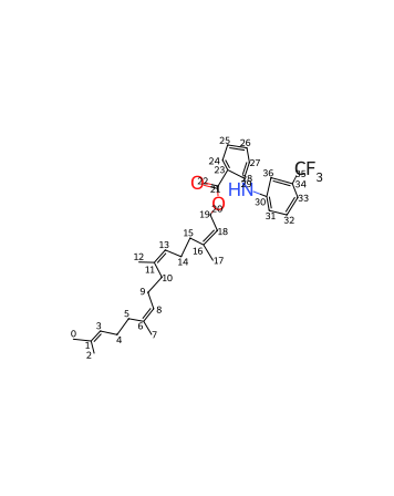 CC(C)=CCCC(C)=CCCC(C)=CCCC(C)=CCOC(=O)c1ccccc1Nc1cccc(C(F)(F)F)c1